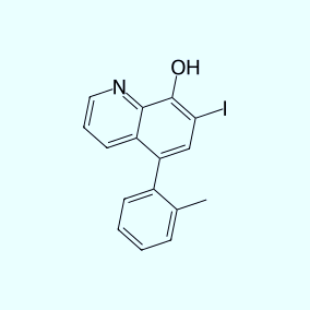 Cc1ccccc1-c1cc(I)c(O)c2ncccc12